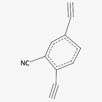 C#Cc1ccc(C#C)c(C#N)c1